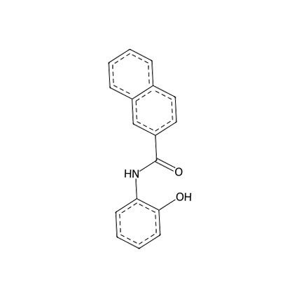 O=C(Nc1ccccc1O)c1ccc2ccccc2c1